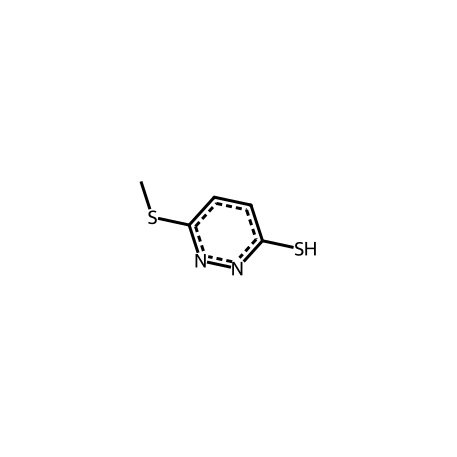 CSc1ccc(S)nn1